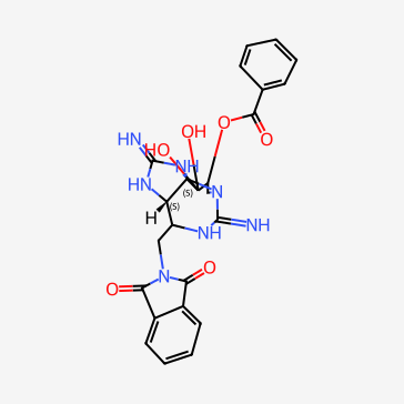 N=C1N[C@H]2C(CN3C(=O)c4ccccc4C3=O)NC(=N)N3CC(OC(=O)c4ccccc4)C(O)(O)[C@]23N1